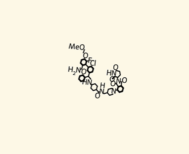 COCCOc1ccc(C(N)=O)c(-c2cc(C(CNC3CCC(C(=O)NCC4CCN(c5cccc6c5C(=O)N(C5CCC(=O)NC5=O)C6=O)CC4)CC3)c3ccccc3)ccc2Cl)c1F